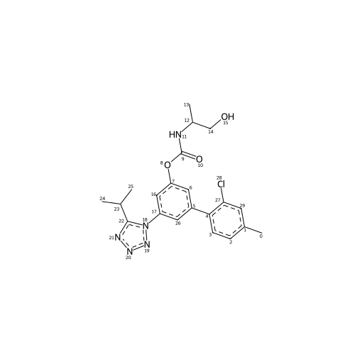 Cc1ccc(-c2cc(OC(=O)NC(C)CO)cc(-n3nnnc3C(C)C)c2)c(Cl)c1